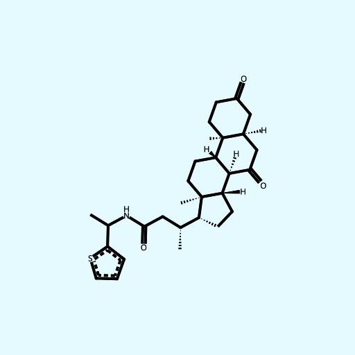 CC(NC(=O)C[C@@H](C)[C@H]1CC[C@H]2[C@@H]3C(=O)C[C@@H]4CC(=O)CC[C@]4(C)[C@H]3CC[C@]12C)c1cccs1